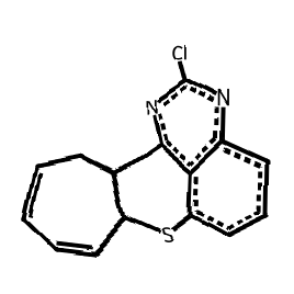 Clc1nc2c3c(cccc3n1)SC1C=CC=CCC21